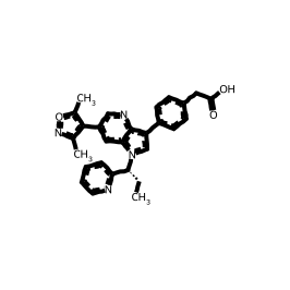 CC[C@H](c1ccccn1)n1cc(-c2ccc(CC(=O)O)cc2)c2ncc(-c3c(C)noc3C)cc21